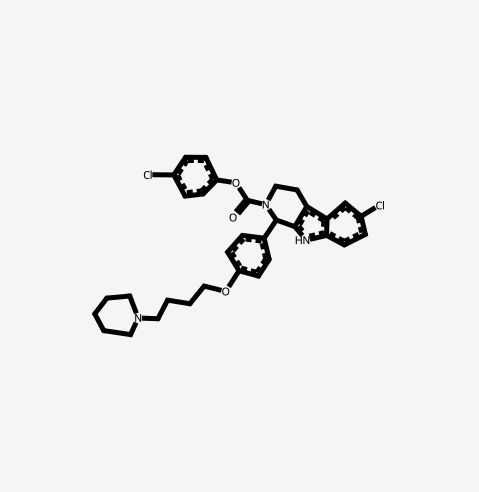 O=C(Oc1ccc(Cl)cc1)N1CCc2c([nH]c3ccc(Cl)cc23)C1c1ccc(OCCCCN2CCCCC2)cc1